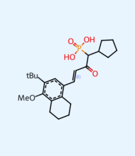 COc1c(C(C)(C)C)cc(/C=C/C(=O)C(C2CCCC2)P(=O)(O)O)c2c1CCCC2